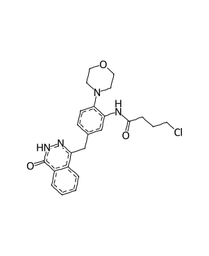 O=C(CCCCl)Nc1cc(Cc2n[nH]c(=O)c3ccccc23)ccc1N1CCOCC1